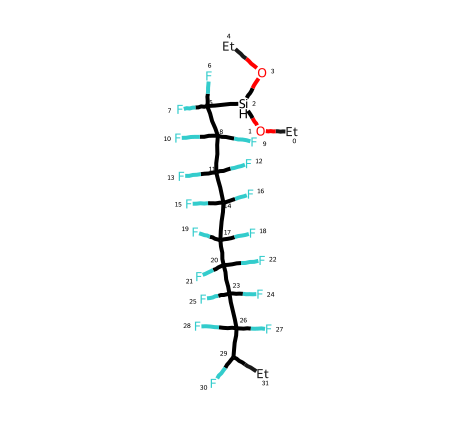 CCO[SiH](OCC)C(F)(F)C(F)(F)C(F)(F)C(F)(F)C(F)(F)C(F)(F)C(F)(F)C(F)(F)C(F)CC